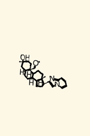 COC[C@]12CC[C@@](C)(O)C[C@H]1CC[C@H]1[C@@H]3CC[C@H](c4cn5ccccc5n4)[C@@]3(C)CC[C@@H]12